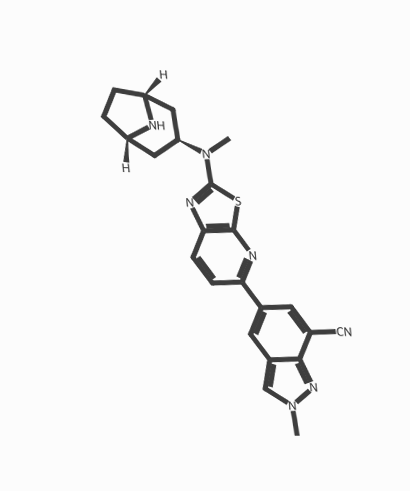 CN(c1nc2ccc(-c3cc(C#N)c4nn(C)cc4c3)nc2s1)[C@@H]1C[C@H]2CC[C@@H](C1)N2